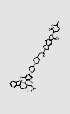 C[C@@H]1Cc2c([nH]c3ccccc23)[C@@H](c2c(F)cc(N3CCC(N4CCC(CC(=O)N5Cc6cc7c(cc6C5)C(=O)N(C5CCC(=O)NC5=O)C7)CC4)CC3)cc2F)N1CC(F)F